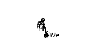 COc1ccccc1OCCNCC(O)Cn1c2ccccc2c2ccccc21